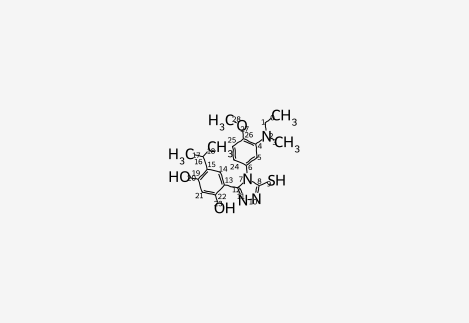 CCN(C)c1cc(-n2c(S)nnc2-c2cc(C(C)C)c(O)cc2O)ccc1OC